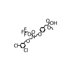 CCOC(Cc1ccc(OCCN(CCOCc2cc(Cl)cc(Cl)c2)C(=O)OCC(F)(F)F)cc1)C(=O)O